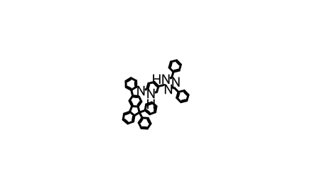 C1=C(C2N=C(c3ccccc3)N=C(c3ccccc3)N2)CNC(n2c3ccccc3c3cc4c(cc32)C(c2ccccc2)(c2ccccc2)c2ccccc2-4)=C1